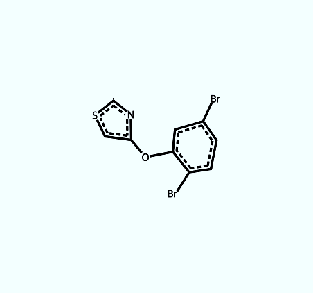 Brc1ccc(Br)c(Oc2cs[c]n2)c1